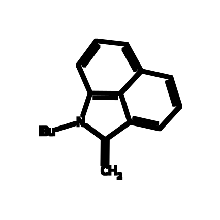 C=c1c2cccc3cccc(c32)n1C(C)CC